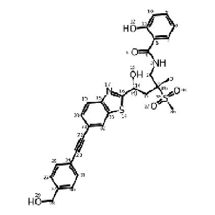 C[C@](CNC(=O)c1ccccc1O)(C[C@@H](O)c1nc2ccc(C#Cc3ccc(CO)cc3)cc2s1)S(C)(=O)=O